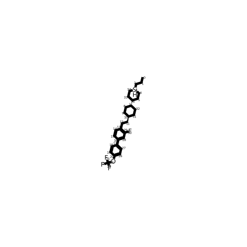 CCC[SiH]1CCC([C@H]2CC[C@H](CCc3ccc(-c4ccc(OC(F)(F)F)cc4)cc3F)CC2)CC1